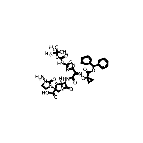 CC(C)(C)OC(=O)Nc1nc(/C(=N/OC2(C(=O)OC(c3ccccc3)c3ccccc3)CC2)C(=O)N[C@@H]2C(=O)N3C[C@@](C(=O)O)(N4CCN(N)C4=O)S[C@H]23)ns1